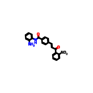 Nc1ccccc1NC(=O)c1ccc(C=CC(=O)c2ccccc2[N+](=O)[O-])cc1